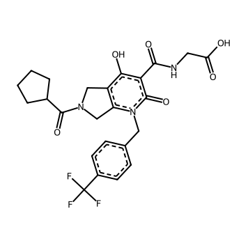 O=C(O)CNC(=O)c1c(O)c2c(n(Cc3ccc(C(F)(F)F)cc3)c1=O)CN(C(=O)C1CCCC1)C2